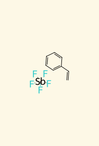 C=Cc1ccccc1.[F][Sb]([F])([F])([F])[F]